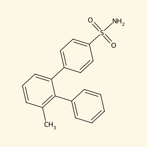 Cc1cccc(-c2ccc(S(N)(=O)=O)cc2)c1-c1ccccc1